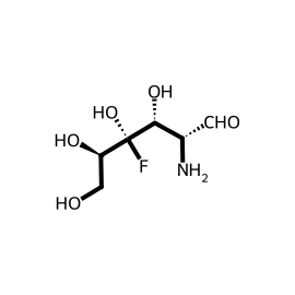 N[C@@H](C=O)[C@@H](O)[C@@](O)(F)[C@H](O)CO